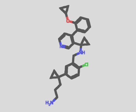 NCCCC1(c2ccc(Cl)c(CNC3(c4cnccc4-c4ccccc4OC4CC4)CC3)c2)CC1